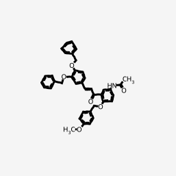 COc1ccc(COc2ccc(NC(C)=O)cc2C(=O)C=Cc2ccc(OCc3ccccc3)c(OCc3ccccc3)c2)cc1